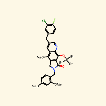 COc1ccc(CN2Cc3c(c(O[Si](C(C)C)(C(C)C)C(C)C)c4ncc(Cc5ccc(F)c(Cl)c5)cc4c3OC)C2=O)c(OC)c1